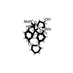 CNC(=O)[C@@H]1C[C@@H](O)C[N+]1(C)C1(c2cc(N3CCCCC3)ccc2OC)C(=O)Nc2ccc(Cl)cc21